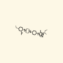 C=C1N(c2ccc(N3CCN(c4ccc(CC)cc4F)CC3)cc2)C=NN1C(C)CC